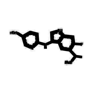 CCCCCCCCc1ccc(Nc2c[nH]c3cc(F)c(C(C)OC)cc23)nc1